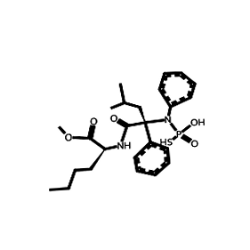 CCCC[C@H](NC(=O)[C@@](CC(C)C)(c1ccccc1)N(c1ccccc1)P(=O)(O)S)C(=O)OC